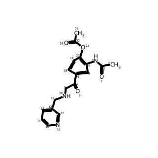 CC(=O)Nc1cc(C(=O)CNCc2cccnc2)ccc1OC(C)=O